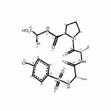 CC(C)[C@H](NC(=O)[C@H]1CCCN1C(=O)[C@H](C)NC(=O)[C@H](C)NS(=O)(=O)c1ccc(Cl)cc1)C(=O)O